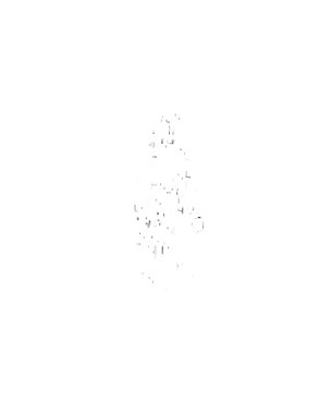 CC[C@H](C)[C@H](NC(=O)[C@@H](Cc1ccccc1)NC)C(=O)N[C@@H](COP)C(=O)N[C@H](CCC(N)=O)C(=O)N[C@@H](C(=O)N[C@H](C(=O)N[C@@H](COP)C(=O)N[C@H]1C(=O)N[C@@H](C)C(=O)N[C@@H](C[C@H]2CNC(=NP)N2P)C(=O)N[C@@H]([C@@H](C)CC)C(=O)O[C@H]1C)[C@@H](C)CC)[C@@H](C)CC